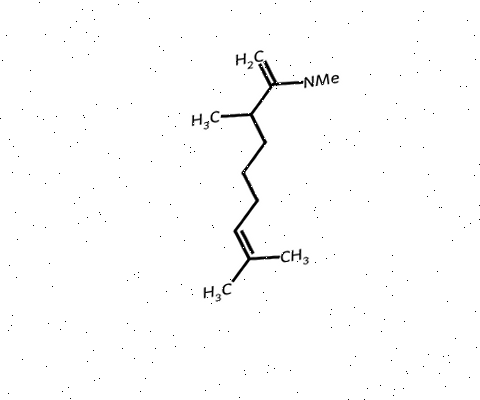 C=C(NC)C(C)CCCC=C(C)C